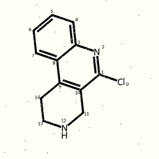 Clc1nc2ccccc2c2c1CNCC2